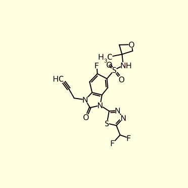 C#CCn1c(=O)n(-c2nnc(C(F)F)s2)c2cc(S(=O)(=O)NC3(C)COC3)c(F)cc21